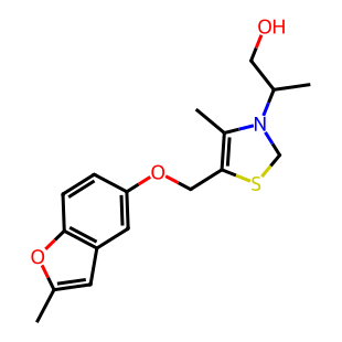 CC1=C(COc2ccc3oc(C)cc3c2)SCN1C(C)CO